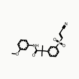 COc1cccc(NC(=O)C(C)(C)c2cccc(S(=O)(=O)C=CC#N)c2)c1